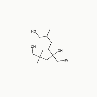 CC(C)CC(O)(CCC(C)CO)CC(C)(C)CO